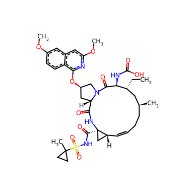 CC[C@@H]1C[C@@H](C)CCC=C[C@@H]2C[C@@]2(C(=O)NS(=O)(=O)C2(C)CC2)NC(=O)[C@@H]2C[C@@H](Oc3nc(OC)cc4cc(OC)ccc34)CN2C(=O)[C@H]1NC(=O)O